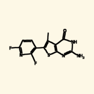 Cc1c(-c2ccc(F)nc2F)sc2nc(N)[nH]c(=O)c12